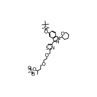 CC(CCOCCOCc1nc(-c2nn(C3CCCCO3)c3ccc(O[Si](C)(C)C(C)(C)C)cc23)cs1)OS(C)(=O)=O